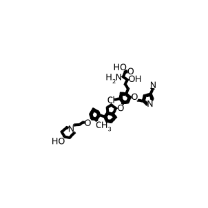 Cc1c(OCCCN2CCC(O)CC2)cccc1-c1cccc2c1CC[C@@H]2Oc1cc(OCc2cncc(C#N)c2)c(CC[C@@H](O)[C@H](N)C(=O)O)cc1Cl